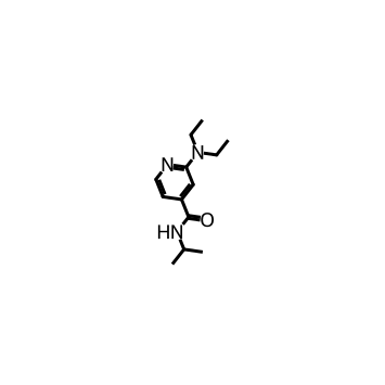 CCN(CC)c1cc(C(=O)NC(C)C)ccn1